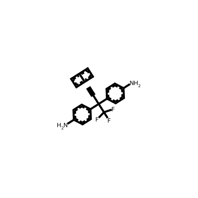 C#CC(c1ccc(N)cc1)(c1ccc(N)cc1)C(F)(F)F.c1cc2ccc1-2